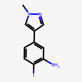 Cn1cc(-c2ccc(I)c(N)c2)cn1